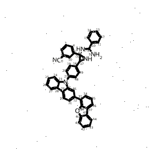 N#Cc1cccc([C@@]2(NC(N)c3ccccc3)NC2c2ccc(-n3c4ccccc4c4ccc(-c5cccc6c5oc5ccccc56)cc43)cc2)c1